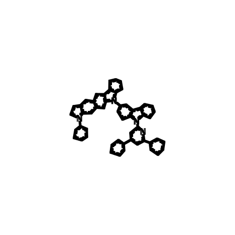 c1ccc(-c2cc(-c3ccccc3)nc(-n3c4ccccc4c4cc(-n5c6ccccc6c6cc7cc8ccn(-c9ccccc9)c8cc7cc65)ccc43)c2)cc1